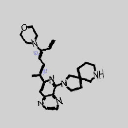 C=C/C(=C\C=C(/C)c1cc2nccnc2c(N2CCC3(CCCNC3)C2)n1)N1CCOCC1